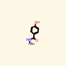 CCCCNC(=O)c1ccc(O)cc1